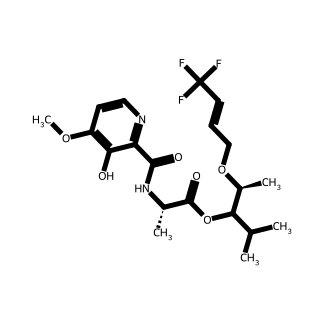 COc1ccnc(C(=O)N[C@@H](C)C(=O)OC(C(C)C)[C@H](C)OC/C=C/C(F)(F)F)c1O